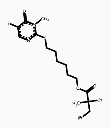 CC(C)CC(C)(C(=O)OCCCCCCSc1ncc(F)c(=O)n1C)C(C)C